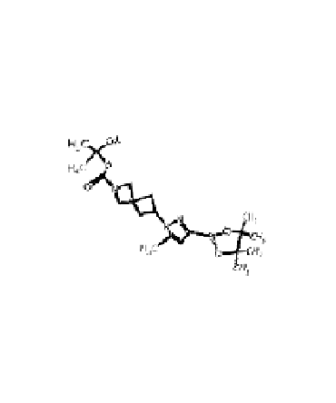 Cc1cc(B2OC(C)(C)C(C)(C)O2)nn1C1CC2(C1)CN(C(=O)OC(C)(C)C)C2